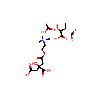 CC(=O)O.CCC(O)C(=O)O.C[N+](C)(C)CCOC(=O)CC(O)(CC(=O)O)C(=O)O.O=C[O-]